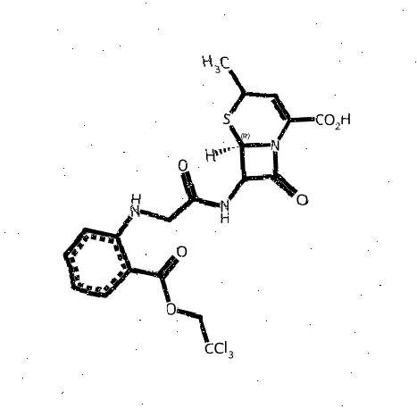 CC1C=C(C(=O)O)N2C(=O)C(NC(=O)CNc3ccccc3C(=O)OCC(Cl)(Cl)Cl)[C@H]2S1